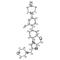 Fc1cc(N2CCNCC2)ccc1-c1ccc2c(c1)OCc1nc(CN3CCOCC3)cn1-2